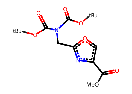 COC(=O)c1coc(CN(C(=O)OC(C)(C)C)C(=O)OC(C)(C)C)n1